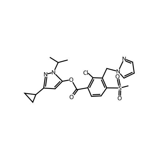 CC(C)n1nc(C2CC2)cc1OC(=O)c1ccc(S(C)(=O)=O)c(Cn2cccn2)c1Cl